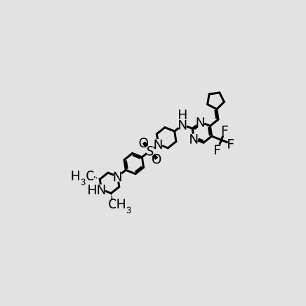 C[C@@H]1CN(c2ccc(S(=O)(=O)N3CCC(Nc4ncc(C(F)(F)F)c(C=C5CCCC5)n4)CC3)cc2)C[C@H](C)N1